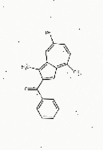 Cc1ccc(C(C)C)cc2c(C)c(C(=O)c3ccccc3)cc1-2